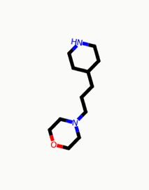 C(CC1CCNCC1)CN1CCOCC1